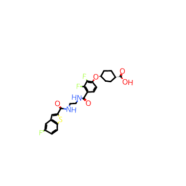 O=C(NCCNC(=O)c1ccc(O[C@H]2CC[C@@H](C(=O)O)CC2)c(F)c1F)c1cc2cc(F)ccc2s1